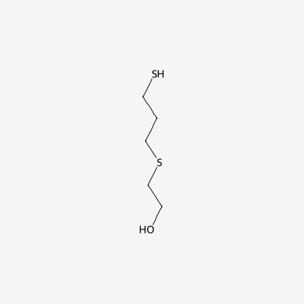 OCCSCCCS